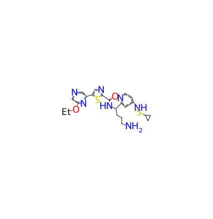 CCOc1cncc(-c2cnc(C(=O)NC(CCCN)c3cc(NSC4CC4)ccn3)s2)n1